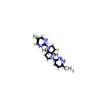 Cc1ccc(N2CC[C@@H]3[C@@H]2CCN3c2ncc(F)cn2)nn1